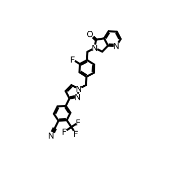 N#Cc1ccc(-c2ccn(Cc3ccc(CN4Cc5ncccc5C4=O)c(F)c3)n2)cc1C(F)(F)F